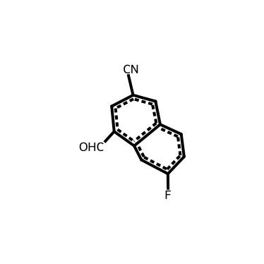 N#Cc1cc(C=O)c2cc(F)ccc2c1